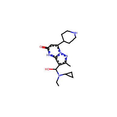 CCN(C1CC1)C(O)c1c(C)nn2c(C3CCNCC3)cc(=O)[nH]c12